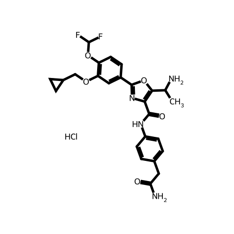 CC(N)c1oc(-c2ccc(OC(F)F)c(OCC3CC3)c2)nc1C(=O)Nc1ccc(CC(N)=O)cc1.Cl